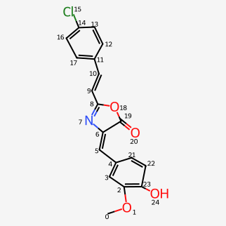 COc1cc(C=C2N=C(C=Cc3ccc(Cl)cc3)OC2=O)ccc1O